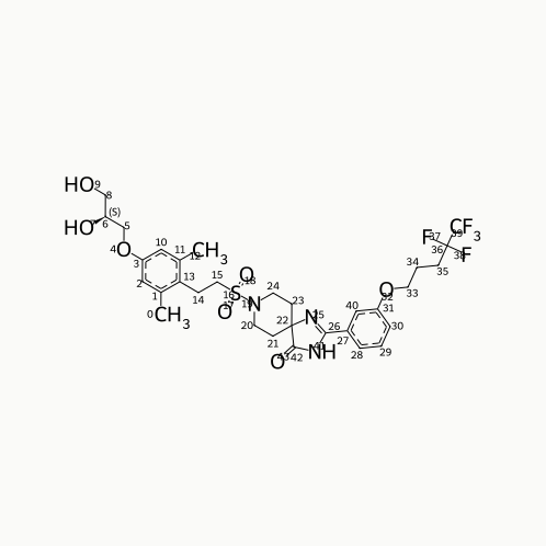 Cc1cc(OC[C@@H](O)CO)cc(C)c1CCS(=O)(=O)N1CCC2(CC1)N=C(c1cccc(OCCCC(F)(F)C(F)(F)F)c1)NC2=O